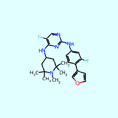 CN1C(C)(C)CC(Nc2nc(Nc3ccc(-c4ccoc4)c(F)c3)ncc2F)CC1(C)C